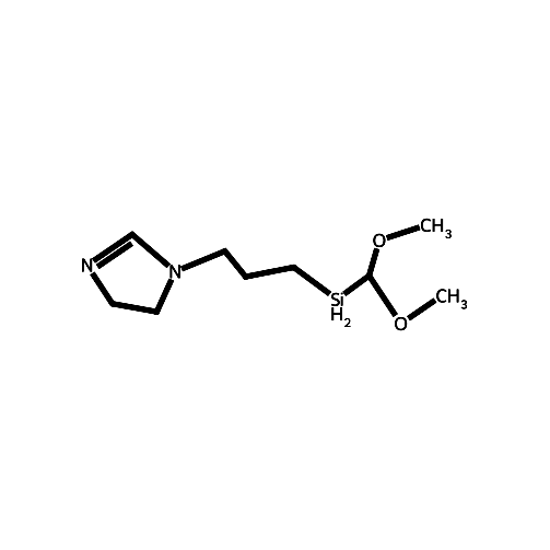 COC(OC)[SiH2]CCCN1C=NCC1